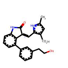 Cc1cc(C(=O)O)c(/C=C2\C(=O)Nc3cccc(-c4cccc(CCO)c4)c32)[nH]1